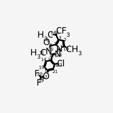 Cc1cc(C(C)C(F)(F)F)c2c(=O)n(C)c(-c3ccc(OC(F)F)cc3Cl)nn12